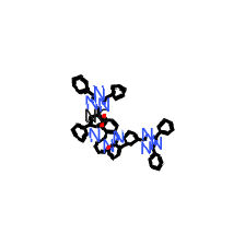 N#Cc1ccc(-n2c3ccccc3c3cc(-c4nc(-c5ccccc5)nc(-c5ccccc5)n4)ccc32)c(-c2ncccc2-n2c3ccccc3c3cc(-c4nc(-c5ccccc5)nc(-c5ccccc5)n4)ccc32)c1